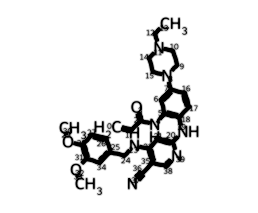 C=CC(=O)Nc1cc(N2CCN(CC)CC2)ccc1Nc1cc(NCc2ccc(OC)c(OC)c2)c(C#N)cn1